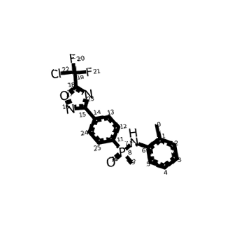 Cc1ccccc1NP(C)(=O)c1ccc(-c2noc(C(F)(F)Cl)n2)cc1